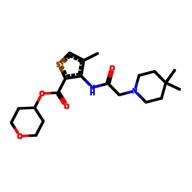 Cc1csc(C(=O)OC2CCOCC2)c1NC(=O)CN1CCC(C)(C)CC1